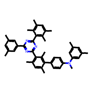 Cc1cc(C)cc(-c2nc(-c3c(C)cc(C)c(-c4ccc(N(C)c5cc(C)cc(C)c5)cc4)c3C)nc(-c3c(C)c(C)cc(C)c3C)n2)c1